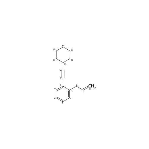 C=CCc1ccccc1C#CC1CCCCC1